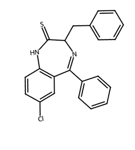 S=C1Nc2ccc(Cl)cc2C(c2ccccc2)=NC1Cc1ccccc1